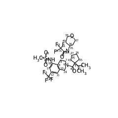 CC(C)[C@]1(C(=O)N2CCc3c(cc(C(F)(F)F)cc3NS(C)(=O)=O)C2)CC[C@@H](N(C(=O)C(F)(F)F)C2CCOCC2)C1